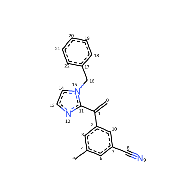 C=C(c1cc(C)cc(C#N)c1)c1nccn1Cc1ccccc1